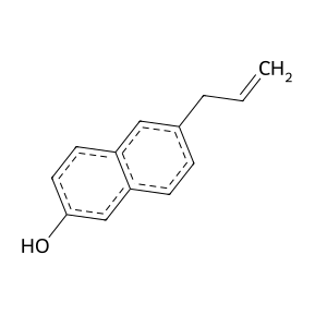 C=CCc1ccc2cc(O)ccc2c1